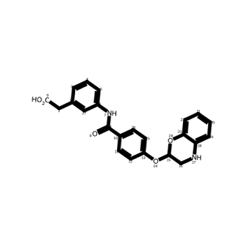 O=C(O)Cc1cccc(NC(=O)c2ccc(OC3CNc4ccccc4O3)cc2)c1